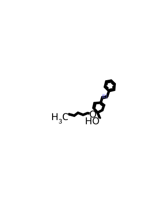 CCCCCCOC1(CO)C=CC(/C=C/c2ccccc2)=CC1